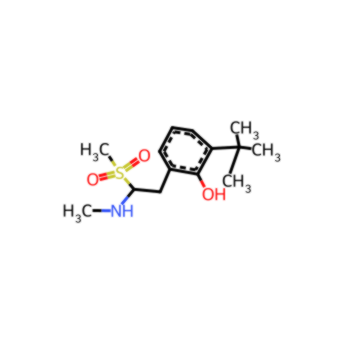 CNC(Cc1cccc(C(C)(C)C)c1O)S(C)(=O)=O